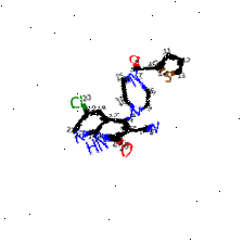 N#Cc1c(N2CCN(C(=O)c3cccs3)CC2)c2cc(Cl)cnc2[nH]c1=O